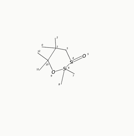 CC1(C)C[Si](=O)[Si](C)(C)OC1(C)C